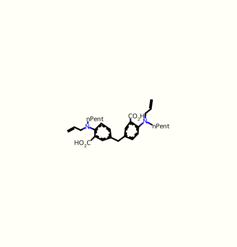 C=CCN(CCCCC)c1ccc(Cc2ccc(N(CC=C)CCCCC)c(C(=O)O)c2)cc1C(=O)O